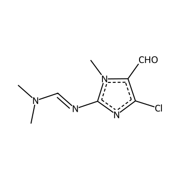 CN(C)C=Nc1nc(Cl)c(C=O)n1C